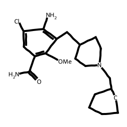 COc1c(C(N)=O)cc(Cl)c(N)c1CC1CCN(CC2CCCCC2)CC1